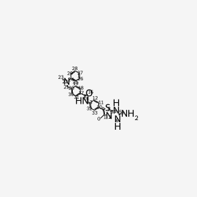 Cc1nc(NC(=N)N)sc1-c1ccc(NC(=O)c2ccc(CN(C)c3ccccc3)cc2)cc1